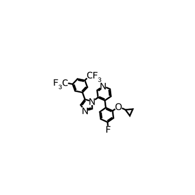 Fc1ccc(-c2ccncc2-n2cncc2-c2cc(C(F)(F)F)cc(C(F)(F)F)c2)c(OC2CC2)c1